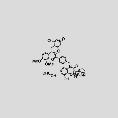 COc1ccc([C@H](Cc2c(Cl)c[n+]([O-])cc2Cl)OC(=O)c2ccc(CN(C(=O)O[C@H]3CN4CCC3CC4)c3cccc(O)c3OC)cc2)cc1OC.O=CO